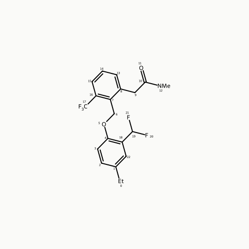 CCc1ccc(OCc2c(CC(=O)NC)cccc2C(F)(F)F)c(C(F)F)c1